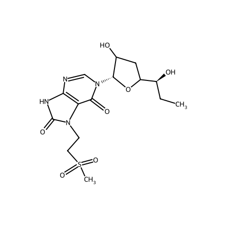 CC[C@H](O)C1CC(O)[C@@H](n2cnc3[nH]c(=O)n(CCS(C)(=O)=O)c3c2=O)O1